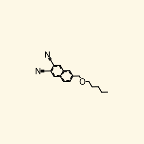 CCCCCOCc1ccc2cc(C#N)c(C#N)cc2c1